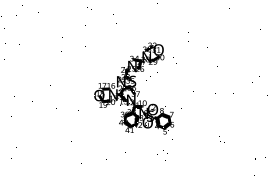 O=S(=O)(c1ccccc1)n1cc(N2C=C(N3CCOCC3)c3nc(CN4CC(N5CCOCC5)C4)sc3C2)c2ccccc21